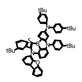 CC(C)(C)c1ccc(N(c2ccc(C(C)(C)C)cc2)c2ccc3c(c2)N(c2ccc(C(C)(C)C)cc2)c2cccc4c2B3c2sc3ccc(C(C)(C)C)cc3c2N4c2cccc3c2oc2ccccc23)cc1